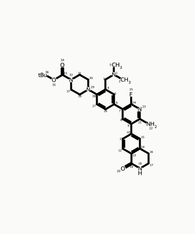 CN(C)Cc1cc(-c2cc(-c3ccc4c(c3)CCNC4=O)c(N)nc2F)ccc1N1CCN(C(=O)OC(C)(C)C)CC1